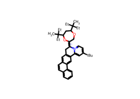 CCC(C)(CC)C1CC(C(C)(CC)CC)O/C(=C2\Cc3cc4ccc5ccccc5c4cc3-c3cc(C(C)(C)C)cc[n+]32)CO1